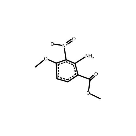 COC(=O)c1ccc(OC)c([N+](=O)[O-])c1N